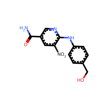 NC(=O)c1cnc(Nc2ccc(CO)cc2)c([N+](=O)[O-])c1